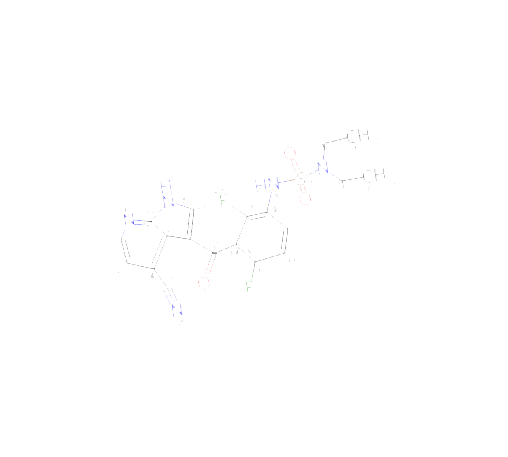 CCN(CC)S(=O)(=O)Nc1ccc(F)c(C(=O)c2c[nH]c3nccc(C#N)c23)c1F